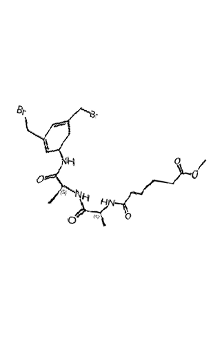 COC(=O)CCCCC(=O)N[C@@H](C)C(=O)N[C@@H](C)C(=O)NC1C=C(CBr)C=C(CBr)C1